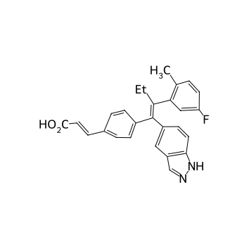 CCC(=C(c1ccc(C=CC(=O)O)cc1)c1ccc2[nH]ncc2c1)c1cc(F)ccc1C